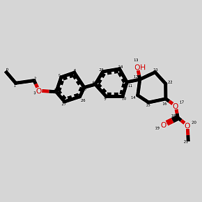 CCCOc1ccc(-c2ccc(C3(O)CCC(OC(=O)OC)CC3)cc2)cc1